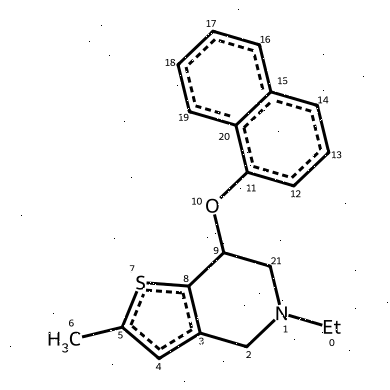 CCN1Cc2cc(C)sc2C(Oc2cccc3ccccc23)C1